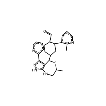 Cc1ncccc1C1CC(C2SC(C)CNc3[nH]nc(-c4ccccn4)c32)CCN1C=O